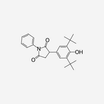 CC(C)(C)c1cc(C2CC(=O)N(c3ccccc3)C2=O)cc(C(C)(C)C)c1O